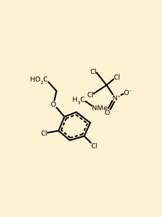 CNC.O=C(O)COc1ccc(Cl)cc1Cl.O=[N+]([O-])C(Cl)(Cl)Cl